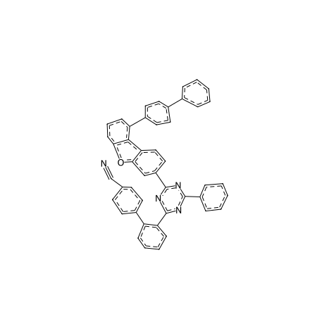 N#Cc1ccc(-c2ccccc2-c2nc(-c3ccccc3)nc(-c3ccc4c(c3)oc3cccc(-c5ccc(-c6ccccc6)cc5)c34)n2)cc1